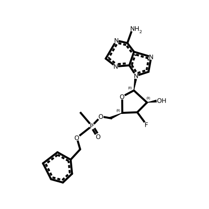 CP(=O)(OCc1ccccc1)OC[C@H]1O[C@@H](n2cnc3c(N)ncnc32)[C@@H](O)C1F